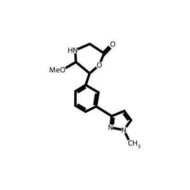 COC1NCC(=O)OC1c1cccc(-c2ccn(C)n2)c1